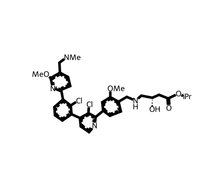 CNCc1ccc(-c2cccc(-c3ccnc(-c4ccc(CNC[C@@H](O)CC(=O)OC(C)C)c(OC)c4)c3Cl)c2Cl)nc1OC